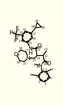 Cc1cccc(C)c1N(C)C(=O)C(C)C(CN1CCOCC1)C(=O)Nc1cc(C2CC2)cc(C(F)(F)F)c1